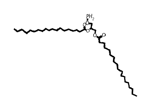 CCCCCCCCCCCCCCCCCCC(=O)OCC(COP)OC(=O)CCCCCCCCCCCCCCCCCC